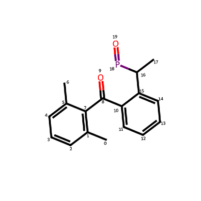 Cc1cccc(C)c1C(=O)c1ccccc1C(C)P=O